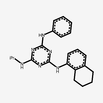 CC(C)Nc1nc(Nc2ccccc2)nc(Nc2cccc3c2CCCC3)n1